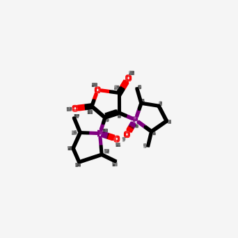 CC1CCC(C)P1(=O)C1=C(P2(=O)C(C)CCC2C)C(=O)OC1=O